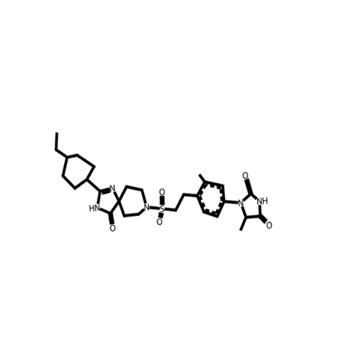 CCC1CCC(C2=NC3(CCN(S(=O)(=O)CCc4ccc(N5C(=O)NC(=O)C5C)cc4C)CC3)C(=O)N2)CC1